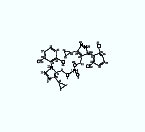 O=[PH](OCc1c(C2CC2)nnn1-c1c(Cl)cccc1Cl)OCc1c(C2CC2)nnn1-c1c(Cl)cccc1Cl